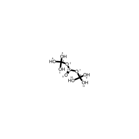 O=S(OC(O)(O)O)OC(O)(O)O